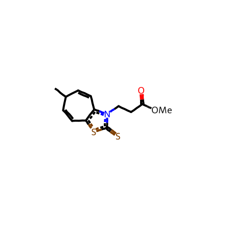 COC(=O)CCn1c2c(sc1=S)C=CC(C)C=C2